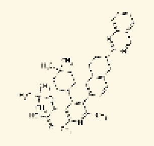 Cc1nc(C)c([C@H](OC(C)(C)C)C(=O)O)c(N2CCC(C)(C)CC2)c1-c1ccc2c(c1)CCN(c1ncc3ccccc3n1)C2